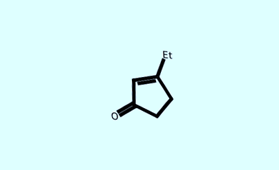 CCC1=CC(=O)CC1